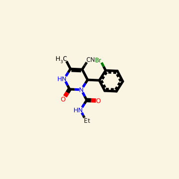 CCNC(=O)N1C(=O)NC(C)=C(C#N)C1c1ccccc1Br